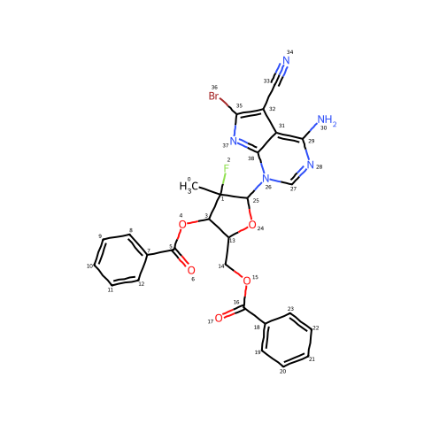 CC1(F)C(OC(=O)c2ccccc2)C(COC(=O)c2ccccc2)OC1n1cnc(N)c2c(C#N)c(Br)nc1-2